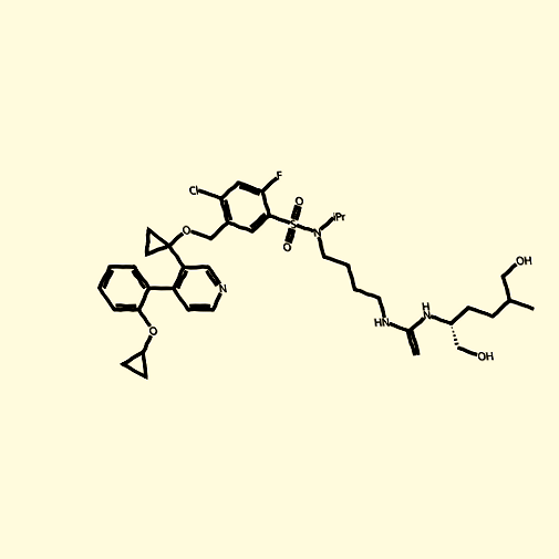 C=C(NCCCCN(C(C)C)S(=O)(=O)c1cc(COC2(c3cnccc3-c3ccccc3OC3CC3)CC2)c(Cl)cc1F)N[C@@H](CO)CCC(C)CO